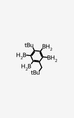 Bc1c(B)c(C(C)(C)C)c(B)c(B)c1CC(C)(C)C